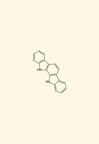 [c]1cccc2c1[nH]c1c2ccc2c3ccccc3[nH]c21